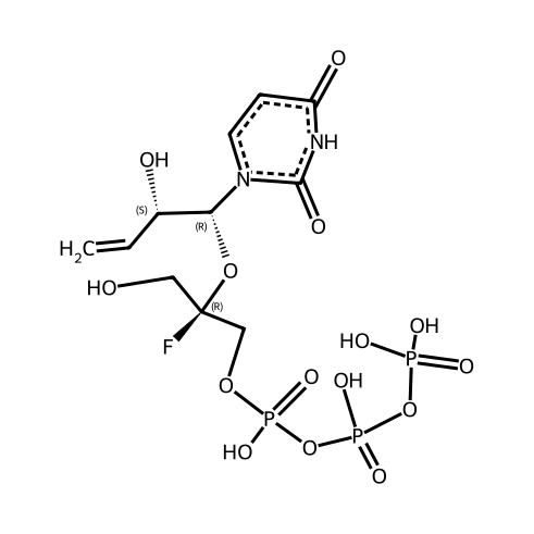 C=C[C@H](O)[C@@H](O[C@@](F)(CO)COP(=O)(O)OP(=O)(O)OP(=O)(O)O)n1ccc(=O)[nH]c1=O